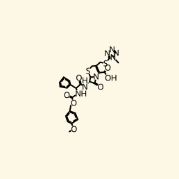 COc1ccc(COC(=O)NC(C(=O)N[C@H]2C(=O)N3C(C(=O)O)=C(CSc4nnnn4C)CSC23)c2ccccc2)cc1